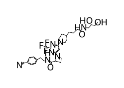 N#Cc1ccc(CCNC(=O)C2CCN2c2cc(N3CCC(CCCC(=O)NCC(O)CO)CC3)nc(C(F)(F)F)n2)cc1